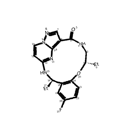 CC[C@H]1CNC(=O)c2cnn3ccc(nc23)N[C@H](CC)c2cc(F)ccc2O1